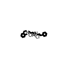 OC(CON=C(Cl)C=Cc1ccccc1)CN1CCc2ccccc2C1